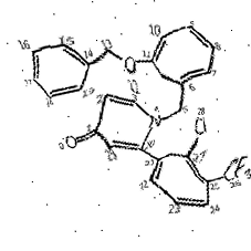 O=c1ccn(Cc2ccccc2OCc2ccccc2)c(-c2cccc(C(F)(F)F)c2Cl)c1